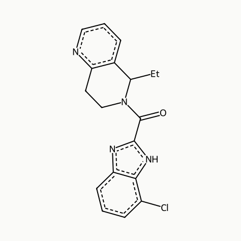 CCC1c2cccnc2CCN1C(=O)c1nc2cccc(Cl)c2[nH]1